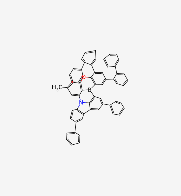 Cc1cc2c3c(c1)-n1c4ccc(-c5ccccc5)cc4c4cc(-c5ccccc5)cc(c41)B3c1cc(-c3ccccc3-c3ccccc3)cc(-c3ccccc3-c3ccccc3)c1O2